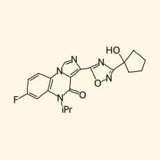 CC(C)n1c(=O)c2c(-c3nc(C4(O)CCCC4)no3)ncn2c2ccc(F)cc21